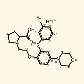 Cl.O=C(O)C1CCCN1CCOc1ccc(N2CCOCC2)cc1Sc1cccc(F)c1